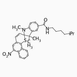 CC(C)CCCCNC(=O)c1ccc2c(c1)C(C)(C)C1(C=Cc3cc([N+](=O)[O-])c4ccccc4c3S1)N2C